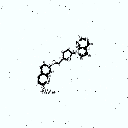 CNc1ccc2ccc(OCC3CCC(n4ccc5cncnc54)O3)cc2n1